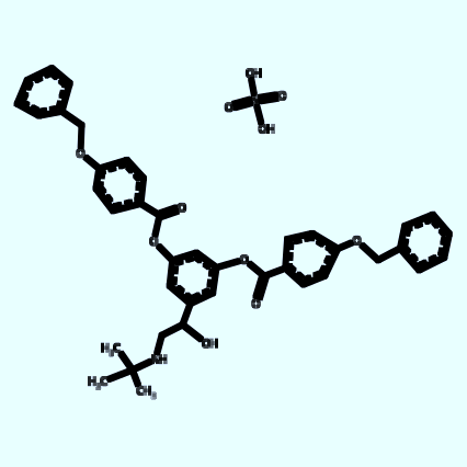 CC(C)(C)NCC(O)c1cc(OC(=O)c2ccc(OCc3ccccc3)cc2)cc(OC(=O)c2ccc(OCc3ccccc3)cc2)c1.O=S(=O)(O)O